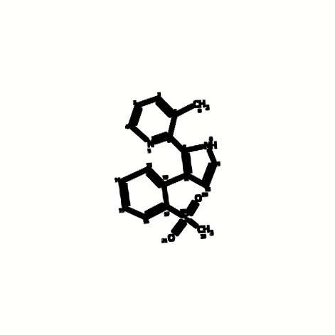 Cc1cccnc1-c1[nH]ccc1-c1ccccc1S(C)(=O)=O